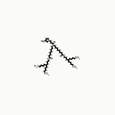 CCCCCC(CCCCC)CCCOC(=O)CCCCCCCN(CCCCCCCC(=O)OCCCC(CCCCC)CCCCC)C(=O)CCN1CCC(O)C1